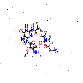 CCO[C@@H]1[C@H](N)[C@@H](COP(OCCC#N)N(C(C)C)C(C)C)O[C@H]1n1cnc2c(=O)[nH]c(NC(=O)C(C)C)nc21